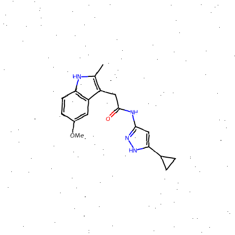 COc1ccc2[nH]c(C)c(CC(=O)Nc3cc(C4CC4)[nH]n3)c2c1